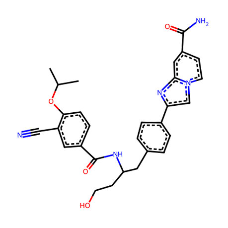 CC(C)Oc1ccc(C(=O)NC(CCO)Cc2ccc(-c3cn4ccc(C(N)=O)cc4n3)cc2)cc1C#N